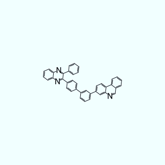 c1ccc(-c2nc3ccccc3nc2-c2ccc(-c3cccc(-c4ccc5c(c4)ncc4ccccc45)c3)cc2)cc1